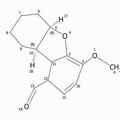 COC1=C2O[C@@H]3CCCC[C@@H]3C2C(C=O)C=C1